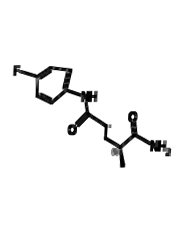 C[C@@H](C[CH]C(=O)Nc1ccc(F)cc1)C(N)=O